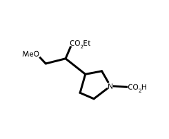 CCOC(=O)C(COC)C1CCN(C(=O)O)C1